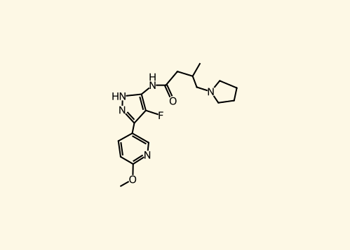 COc1ccc(-c2n[nH]c(NC(=O)CC(C)CN3CCCC3)c2F)cn1